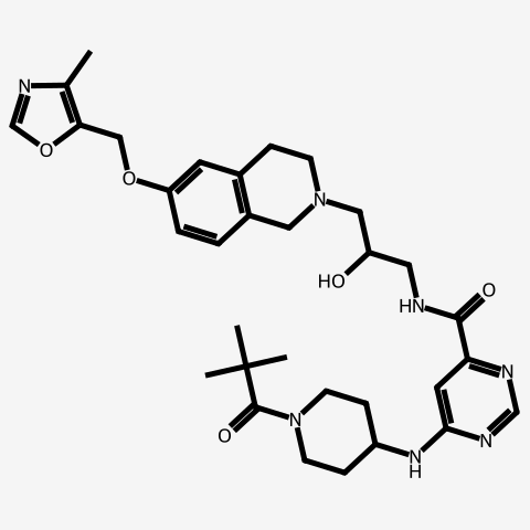 Cc1ncoc1COc1ccc2c(c1)CCN(CC(O)CNC(=O)c1cc(NC3CCN(C(=O)C(C)(C)C)CC3)ncn1)C2